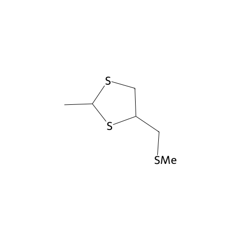 CSCC1CSC(C)S1